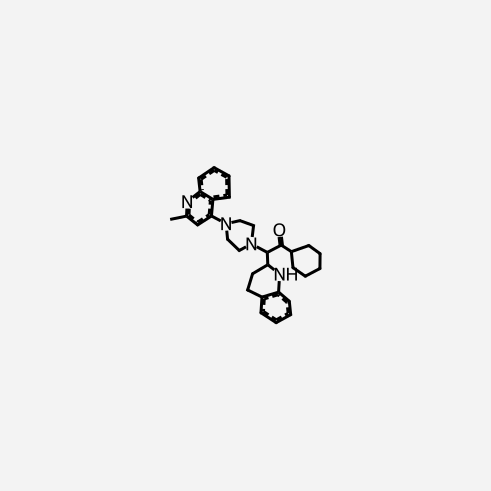 Cc1cc(N2CCN(C(C(=O)C3CCCCC3)C3CCc4ccccc4N3)CC2)c2ccccc2n1